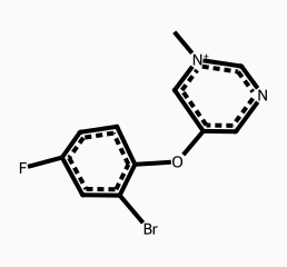 C[n+]1cncc(Oc2ccc(F)cc2Br)c1